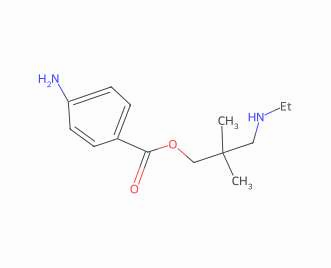 CCNCC(C)(C)COC(=O)c1ccc(N)cc1